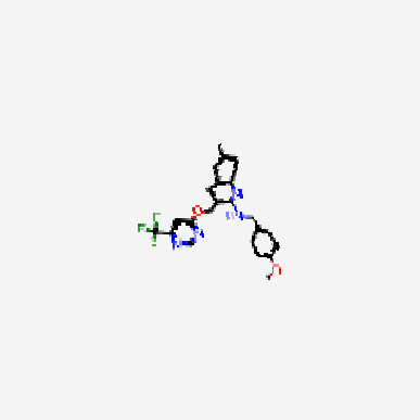 COc1ccc(CNc2nc3ccc(C)cc3cc2COc2cc(C(F)(F)F)ncn2)cc1